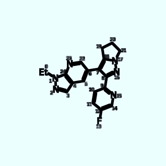 CCn1ncc2cc(-c3c(-c4ccc(F)cn4)nn4c3CCC4)cnc21